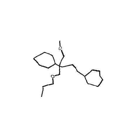 CCCOCC(CCC1CCCCC1)(COC)C1CCCCC1